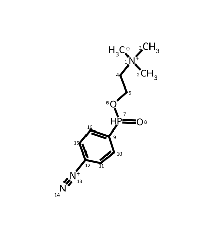 C[N+](C)(C)CCO[PH](=O)c1ccc([N+]#N)cc1